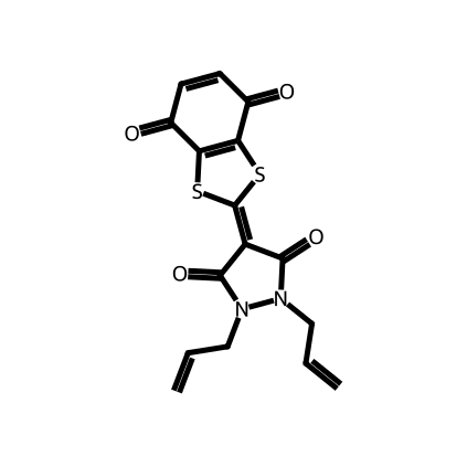 C=CCN1C(=O)C(=C2SC3=C(S2)C(=O)C=CC3=O)C(=O)N1CC=C